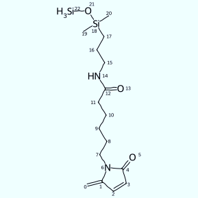 C=C1C=CC(=O)N1CCCCCC(=O)NCCC[Si](C)(C)O[SiH3]